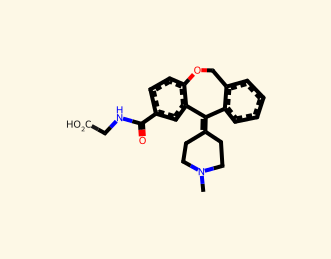 CN1CCC(=C2c3ccccc3COc3ccc(C(=O)NCC(=O)O)cc32)CC1